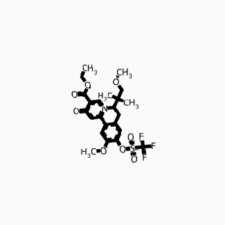 CCOC(=O)c1cn2c(cc1=O)-c1cc(OC)c(OS(=O)(=O)C(F)(F)F)cc1CC2C(C)(C)COC